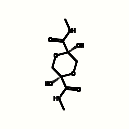 CNC(=O)[C@@]1(O)CO[C@@](O)(C(=O)NC)CO1